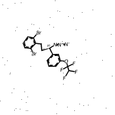 [N-]=[N+]=N[C@H](CCc1c(Br)cccc1Br)c1cccc(OC(F)(F)C(F)F)c1